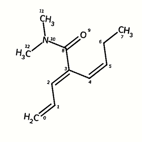 C=C/C=C(\C=C/CC)C(=O)N(C)C